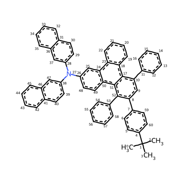 CC(C)(C)c1ccc(-c2cc(-c3ccccc3)c3c4ccccc4c4cc(N(c5ccc6ccccc6c5)c5ccc6ccccc6c5)ccc4c3c2-c2ccccc2)cc1